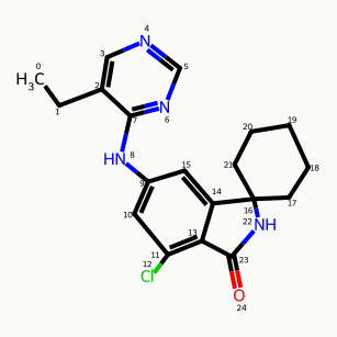 CCc1cncnc1Nc1cc(Cl)c2c(c1)C1(CCCCC1)NC2=O